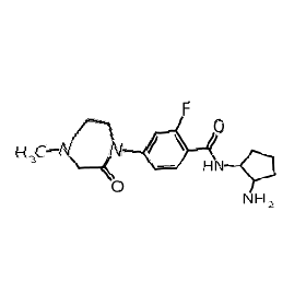 CN1CCN(c2ccc(C(=O)NC3CCCC3N)c(F)c2)C(=O)C1